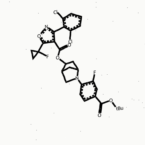 CC(C)(C)OC(=O)c1ccc(N2CC3CC2CC3OC(=O)c2c(-c3c(Cl)cccc3Cl)noc2C2(F)CC2)c(F)c1